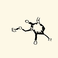 CCOCn1c(=O)[nH]cc(CC)c1=O